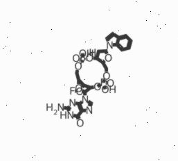 Nc1nc2c(ncn2C2OC3COP(=O)(O)O[C@@H]4C[C@H](n5ccc6ccccc65)OC4COP(=O)(O)OC2C3OF)c(=O)[nH]1